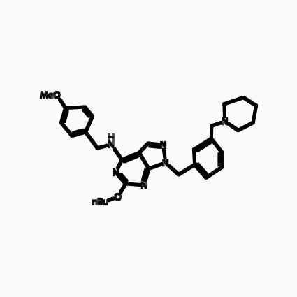 CCCCOc1nc(NCc2ccc(OC)cc2)c2cnn(Cc3cccc(CN4CCCCC4)c3)c2n1